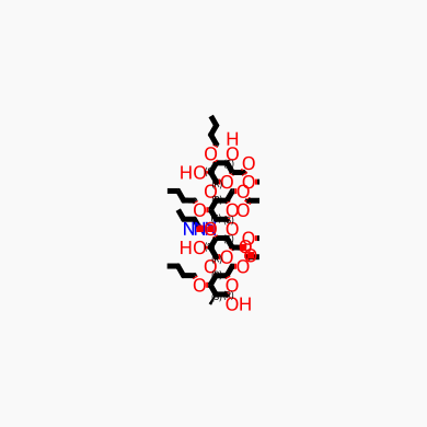 CCCCOC1[C@@H](O[C@@H]2OC(C(=O)OC)[C@@H](O[C@@H]3OC(COC(C)=O)[C@H](O[C@@H]4OC(C(=O)OC)[C@@H](O)C(OCCCC)[C@@H]4O)C(OCCCC)[C@@H]3N=[N+]=[N-])C(OCCCC)[C@@H]2O)C(COC(C)=O)O[C@@H](O)[C@H]1C